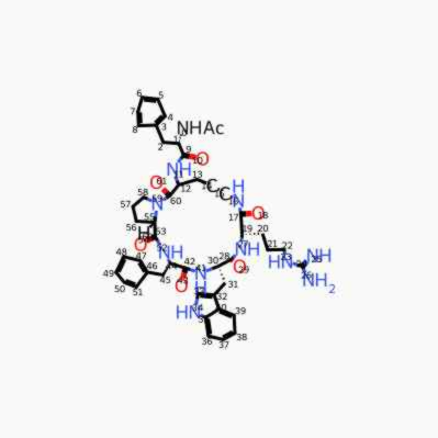 CC(=O)N[C@@H](Cc1ccccc1)C(=O)NC1CCCNC(=O)[C@H](CCCNC(=N)N)NC(=O)[C@H](Cc2c[nH]c3ccccc23)NC(=O)[C@@H](Cc2ccccc2)NC(=O)[C@@H]2CCCN2C1=O